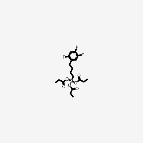 CCC(=O)O[Si](CCCCc1cc(F)c(F)cc1F)(OC(=O)CC)OC(=O)CC